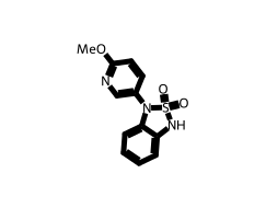 COc1ccc(N2c3ccccc3NS2(=O)=O)cn1